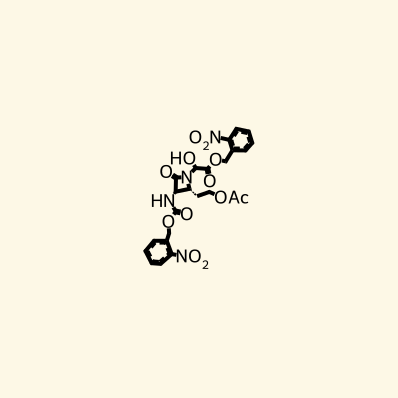 CC(=O)OCC[C@@H]1[C@@H](NC(=O)OCc2ccccc2[N+](=O)[O-])C(=O)N1C(O)C(=O)OCc1ccccc1[N+](=O)[O-]